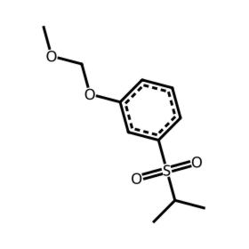 COCOc1cccc(S(=O)(=O)C(C)C)c1